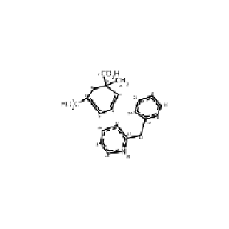 CC1(C(=O)O)C=CC=C(C(=O)O)C1.c1ccc(Cc2ccccn2)cc1